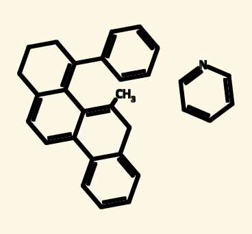 CC1=c2c(ccc3c2=C(c2ccccc2)CCC3)-c2ccccc2C1.c1ccncc1